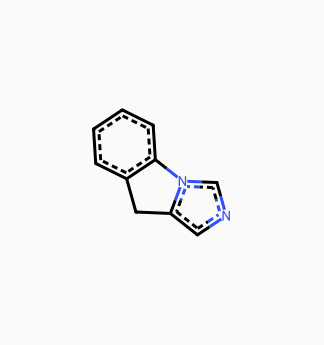 c1ccc2c(c1)Cc1cncn1-2